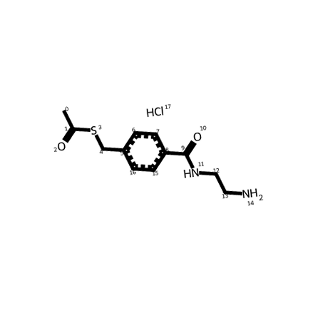 CC(=O)SCc1ccc(C(=O)NCCN)cc1.Cl